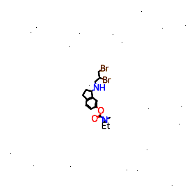 CCN(C)C(=O)Oc1ccc2c(c1)[C@H](NCC(Br)CBr)CC2